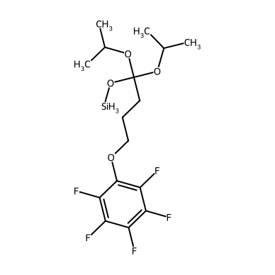 CC(C)OC(CCCOc1c(F)c(F)c(F)c(F)c1F)(O[SiH3])OC(C)C